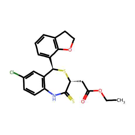 CCOC(=O)C[C@H]1S[C@H](c2cccc3c2OCC3)c2cc(Cl)ccc2NC1=S